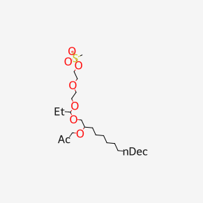 CCCCCCCCCCCCCCCCC(COC(CC)OCCOCCOS(C)(=O)=O)OCC(C)=O